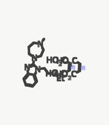 CCOCCn1c(N2CCCN(C)CC2)nc2ccccc21.O=C(O)/C=C\C(=O)O.O=C(O)/C=C\C(=O)O